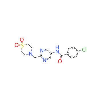 O=C(Nc1cnc(CN2CCS(=O)(=O)CC2)nc1)c1ccc(Cl)cc1